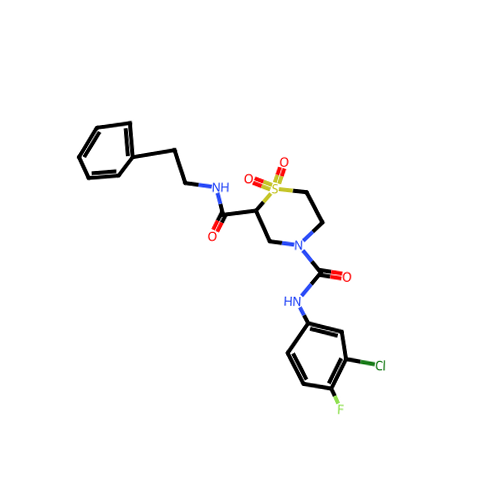 O=C(NCCc1ccccc1)C1CN(C(=O)Nc2ccc(F)c(Cl)c2)CCS1(=O)=O